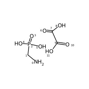 NCP(=O)(O)O.O=C(O)C(=O)O